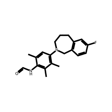 Cc1cc(N2CCCc3cc(F)ccc3C2)c(C)c(C)c1NC=O